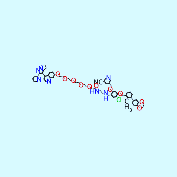 Cc1c(COc2cc(OCc3cncc(C#N)c3)c(CNCCNC(=O)COCCOCCOCCOCCOc3ccc4c(-c5c(-c6ccccn6)nn6c5CCC6)ccnc4c3)cc2Cl)cccc1-c1ccc2c(c1)OCCO2